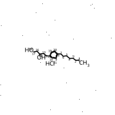 CCCCCCCCc1ccc(CCC(O)CCO)cc1.Cl